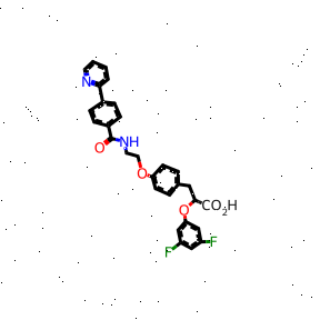 O=C(NCCOc1ccc(CC(Oc2cc(F)cc(F)c2)C(=O)O)cc1)c1ccc(-c2ccccn2)cc1